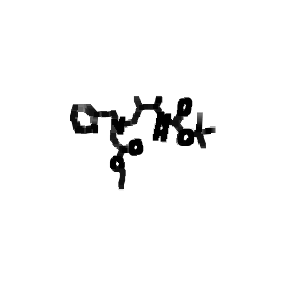 CCOC(=O)CN(Cc1ccccc1)CC(C)[C@@H](C)NC(=O)OC(C)(C)C